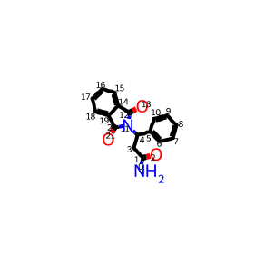 NC(=O)CC(c1ccccc1)N1C(=O)c2ccccc2C1=O